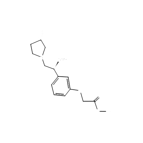 CN[C@H](CN1CC[C@H](F)C1)c1cccc(OCC(=O)OC(C)(C)C)c1